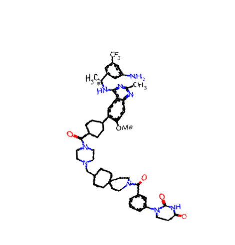 COc1cc2nc(C)nc(N[C@H](C)c3cc(N)cc(C(F)(F)F)c3)c2cc1C1CCC(C(=O)N2CCN(CC3CCC4(CC3)CCN(C(=O)c3cccc(N5CCC(=O)NC5=O)c3)CC4)CC2)CC1